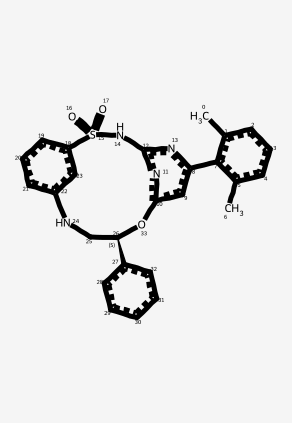 Cc1cccc(C)c1-c1cc2nc(n1)NS(=O)(=O)c1cccc(c1)NC[C@H](c1ccccc1)O2